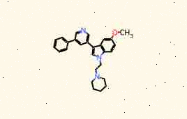 COc1ccc2c(c1)c(-c1cncc(-c3ccccc3)c1)cn2CCN1CCCCC1